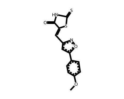 COc1ccc(-c2cc(/C=C3\SC(=S)NC3=O)no2)cc1